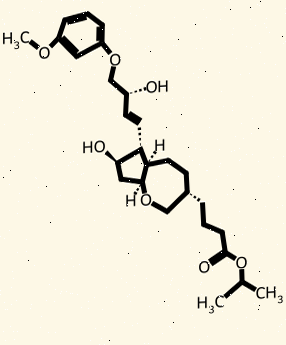 COc1cccc(OC[C@H](O)/C=C/[C@@H]2[C@H]3CC[C@H](CCCC(=O)OC(C)C)CO[C@H]3C[C@H]2O)c1